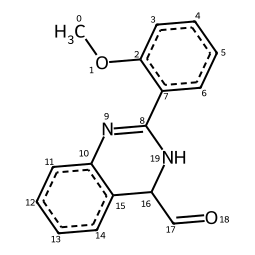 COc1ccccc1C1=Nc2ccccc2C(C=O)N1